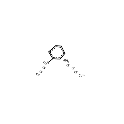 O=[N+]([O-])c1ccccc1.[AlH3].[Cl-].[Cl-].[Cl-].[Cl-].[Cl-].[Co].[Cu+2]